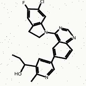 CCC(O)c1cc(-c2ccc3ncnc(N4CCc5cc(F)c(Cl)cc54)c3c2)cnc1C